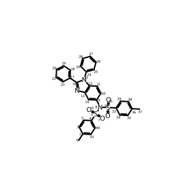 Cc1ccc(S(=O)(=O)N(c2ccc3c(c2)nc(-c2ccccc2)n3-c2ccccc2)S(=O)(=O)c2ccc(C)cc2)cc1